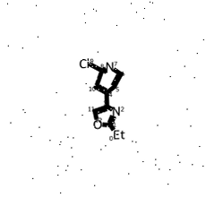 CCc1nc(-c2ccnc(Cl)c2)co1